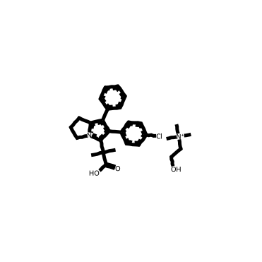 CC(C)(C(=O)O)c1c(-c2ccc(Cl)cc2)c(-c2ccccc2)c2n1CCC2.C[N+](C)(C)CCO